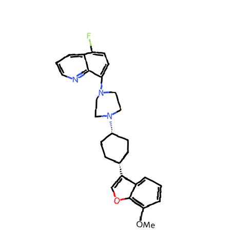 COc1cccc2c1occ2[C@H]1CC[C@@H](N2CCN(c3ccc(F)c4cccnc34)CC2)CC1